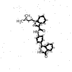 CN(C)CCn1nc(C(=O)Nc2ccc(-c3n[nH]c(=O)c4ccccc34)cc2)c2ccccc21